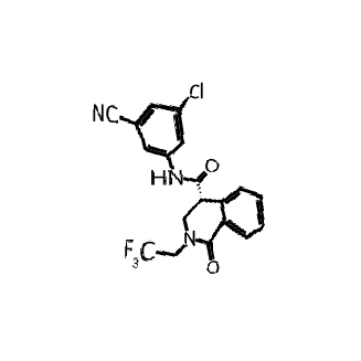 N#Cc1cc(Cl)cc(NC(=O)[C@H]2CN(CC(F)(F)F)C(=O)c3ccccc32)c1